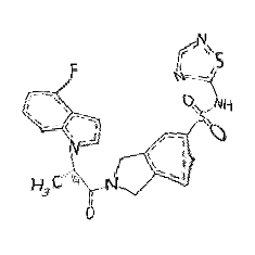 C[C@@H](C(=O)N1Cc2ccc(S(=O)(=O)Nc3ncns3)cc2C1)n1ccc2c(F)cccc21